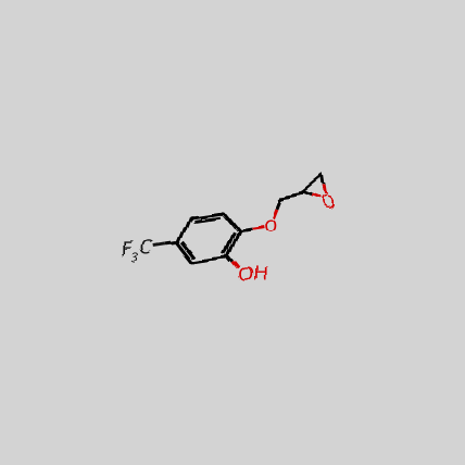 Oc1cc(C(F)(F)F)ccc1OCC1CO1